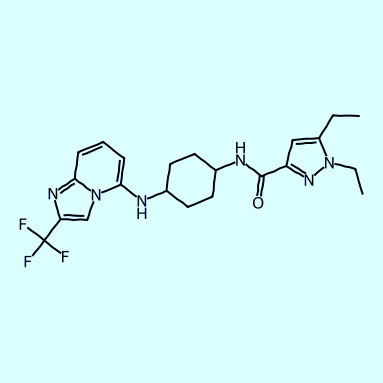 CCc1cc(C(=O)NC2CCC(Nc3cccc4nc(C(F)(F)F)cn34)CC2)nn1CC